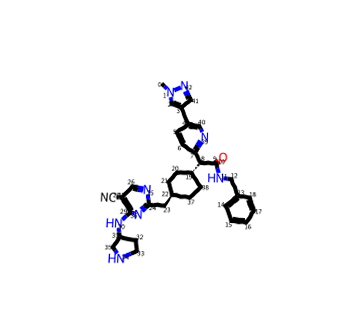 Cn1cc(-c2ccc(C(C(=O)NCc3ccccc3)[C@H]3CC[C@H](Cc4ncc(C#N)c(NC5CCNC5)n4)CC3)nc2)cn1